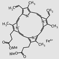 C=Cc1c2[n-]c(c1C)/C=c1\[n-]/c(c(C)c1C=C)=C\c1[n-]c(c(CCC(=O)OC)c1C)/C=c1\[n-]/c(c(C)c1CCC(=O)OC)=C\2.[Fe+4]